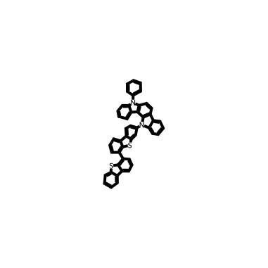 c1ccc(-n2c3ccccc3c3c2ccc2c4ccccc4n(-c4ccc5c(c4)sc4c(-c6cccc7c6sc6ccccc67)cccc45)c23)cc1